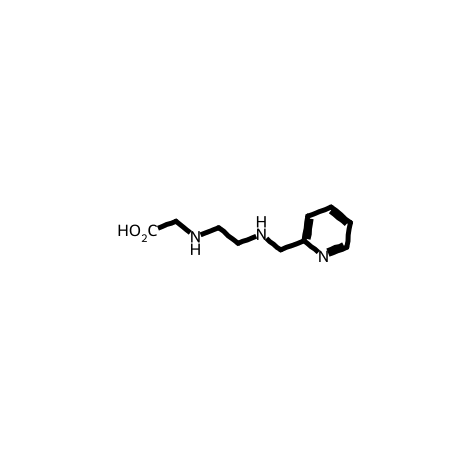 O=C(O)CNCCNCc1ccccn1